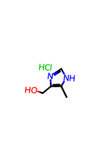 Cc1[nH]cnc1CO.Cl